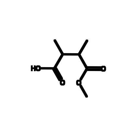 COC(=O)C(C)C(C)C(=O)O